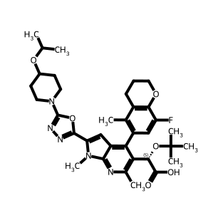 Cc1nc2c(cc(-c3nnc(N4CCC(OC(C)C)CC4)o3)n2C)c(-c2cc(F)c3c(c2C)CCCO3)c1[C@H](OC(C)(C)C)C(=O)O